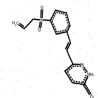 C=CCS(=O)(=O)c1cccc(C=Cc2ccc(=O)[nH]n2)c1